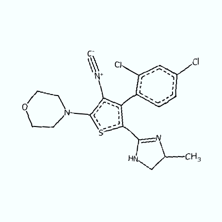 [C-]#[N+]c1c(N2CCOCC2)sc(C2=NC(C)CN2)c1-c1ccc(Cl)cc1Cl